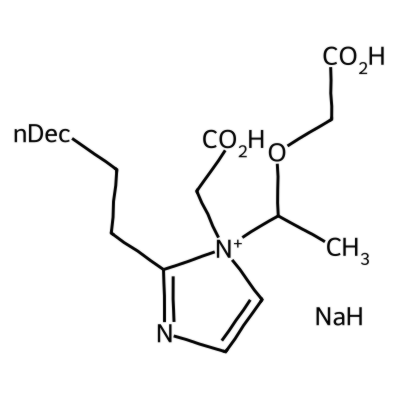 CCCCCCCCCCCCC1=NC=C[N+]1(CC(=O)O)C(C)OCC(=O)O.[NaH]